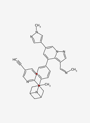 C#Cc1ccc(C(C)N2C3CC2CN(c2ccc(-c4cc(-c5cnn(C)c5)cn5ncc(/C=N\C)c45)cn2)C3)nc1